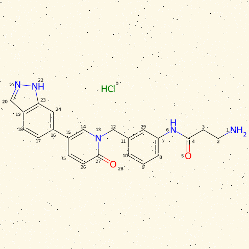 Cl.NCCC(=O)Nc1cccc(Cn2cc(-c3ccc4cn[nH]c4c3)ccc2=O)c1